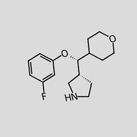 Fc1cccc(O[C@H](C2CCOCC2)[C@@H]2CCNC2)c1